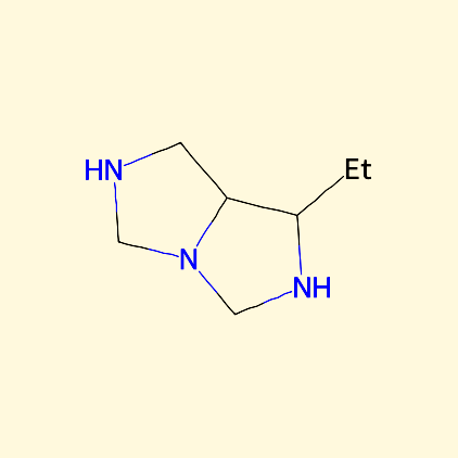 CCC1NCN2CNCC12